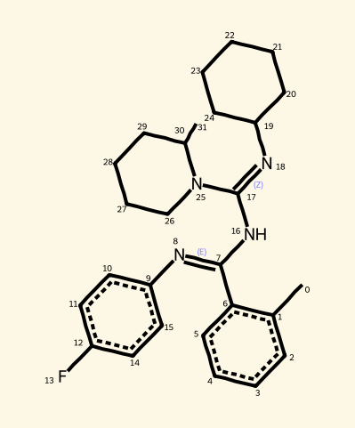 Cc1ccccc1/C(=N\c1ccc(F)cc1)N/C(=N/C1CCCCC1)N1CCCCC1C